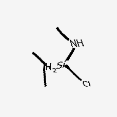 CCC.CN[SiH2]Cl